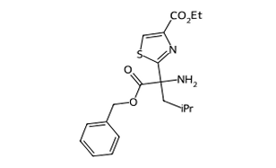 CCOC(=O)c1csc(C(N)(CC(C)C)C(=O)OCc2ccccc2)n1